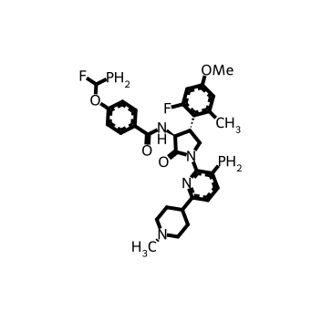 COc1cc(C)c([C@@H]2CN(c3nc(C4CCN(C)CC4)ccc3P)C(=O)[C@H]2NC(=O)c2ccc(OC(F)P)cc2)c(F)c1